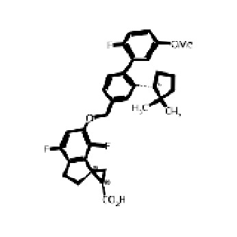 COc1ccc(F)c(-c2ccc(COc3cc(F)c4c(c3F)[C@]3(CC4)C[C@H]3C(=O)O)cc2[C@@H]2CCCC2(C)C)c1